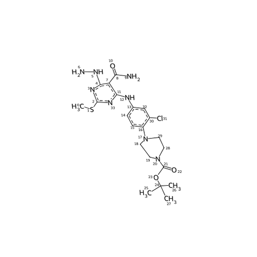 CSc1nc(NN)c(C(N)=O)c(Nc2ccc(N3CCN(C(=O)OC(C)(C)C)CC3)c(Cl)c2)n1